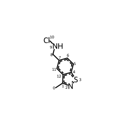 Cc1nsc2ccc(CNCl)cc12